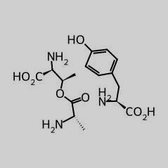 C[C@H](N)C(=O)O[C@H](C)[C@H](N)C(=O)O.N[C@@H](Cc1ccc(O)cc1)C(=O)O